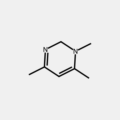 CC1=CC(C)=NCN1C